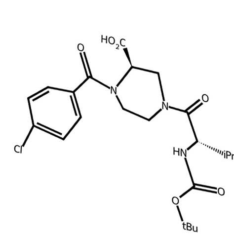 CC(C)[C@H](NC(=O)OC(C)(C)C)C(=O)N1CCN(C(=O)c2ccc(Cl)cc2)[C@@H](C(=O)O)C1